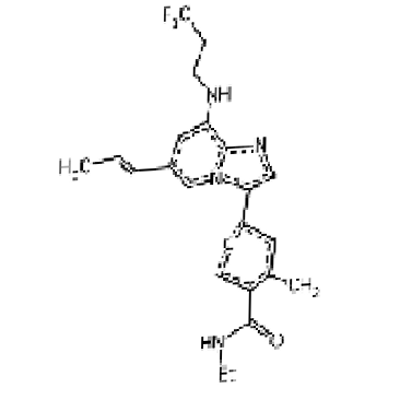 C/C=C/c1cc(NCCC(F)(F)F)c2ncc(-c3ccc(C(=O)NCC)c(C)c3)n2c1